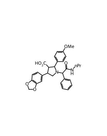 CCCNC(=O)C(c1ccccc1)N1CC(c2ccc3c(c2)OCO3)C(C(=O)O)C1c1ccc(OC)cc1